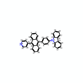 c1ccc2c(-c3ccc(-n4c5ccccc5c5ccccc54)cc3)c3ccccc3c(-c3ccncc3)c2c1